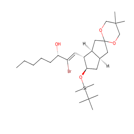 CCCCC[C@H](O)/C(Br)=C/[C@@H]1[C@H]2CC3(C[C@H]2C[C@H]1O[Si](C)(C)C(C)(C)C)OCC(C)(C)CO3